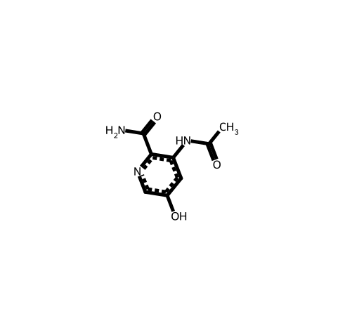 CC(=O)Nc1cc(O)cnc1C(N)=O